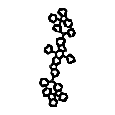 c1ccc(-c2c3cc4c(cc3c(-c3ccccc3)c3c2sc2cc(N(c5ccccc5)c5cccc(C6(c7ccccc7)c7ccccc7-c7ccccc76)c5)ccc23)sc2cc(N(c3ccccc3)c3cccc(C5(c6ccccc6)c6ccccc6-c6ccccc65)c3)ccc24)cc1